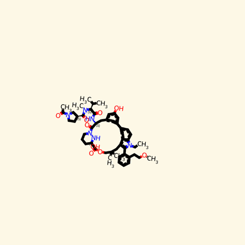 CCn1c(-c2ccccc2CCOC)c2c3cc(ccc31)-c1cc(O)cc(c1)C[C@H](NC(=O)[C@H](C(C)C)N(C)C(=O)[C@H]1CCN(C(C)=O)C1)C(=O)N1CCC[C@@](O)(N1)C(=O)OCC(C)(C)C2